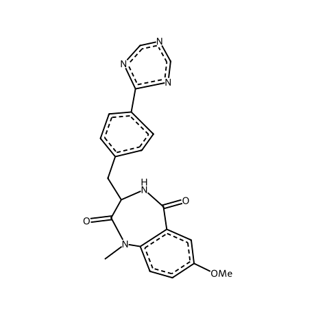 COc1ccc2c(c1)C(=O)NC(Cc1ccc(-c3ncncn3)cc1)C(=O)N2C